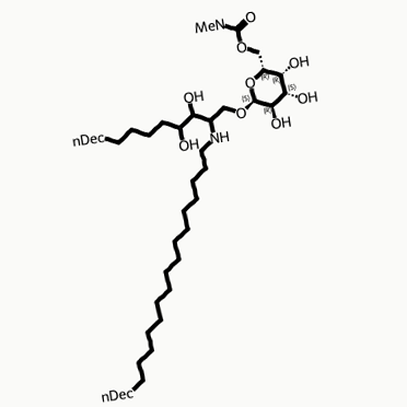 CCCCCCCCCCCCCCCCCCCCCCCCCCNC(CO[C@H]1O[C@H](COC(=O)NC)[C@H](O)[C@H](O)[C@H]1O)C(O)C(O)CCCCCCCCCCCCCC